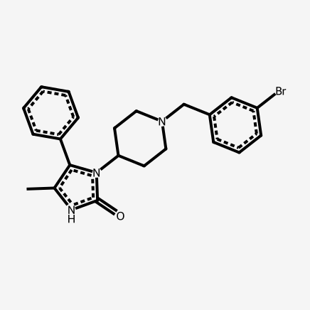 Cc1[nH]c(=O)n(C2CCN(Cc3cccc(Br)c3)CC2)c1-c1ccccc1